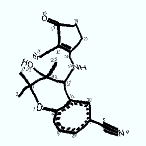 CC1(C)Oc2ccc(C#N)cc2C(NC2=C(Br)C(=O)CC2)C1(C)O